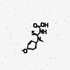 COc1ccc(N(C)C(=S)NC(=O)O)cc1